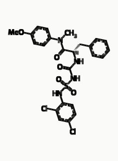 COc1ccc(N(C)C(=O)[C@H](Cc2ccccc2)NC(=O)NS(=O)(=O)Nc2ccc(Cl)cc2Cl)cc1